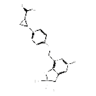 CC1(C)Cc2cc(F)cc(COc3ccc(C4CC4C(=O)O)cc3)c2O1